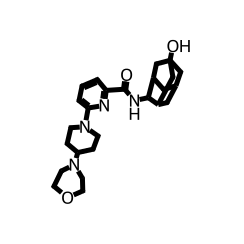 O=C(NC1C2CC3CC1CC(O)(C3)C2)c1cccc(N2CCC(N3CCOCC3)CC2)n1